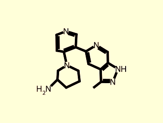 Cc1n[nH]c2cnc(-c3cnccc3N3CCCC(N)C3)cc12